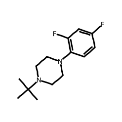 CC(C)(C)N1CCN(c2ccc(F)cc2F)CC1